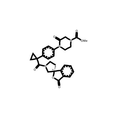 COC(=O)N1CCN(c2ccc(C3(C(=O)N4CC[C@@]5(C4)OC(=O)c4ccccc45)CC3)cc2)C(=O)C1